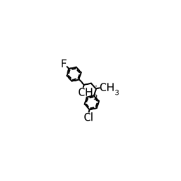 C[C](CC(C)c1ccc(F)cc1)c1ccc(Cl)cc1